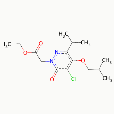 CCOC(=O)Cn1nc(C(C)C)c(OCC(C)C)c(Cl)c1=O